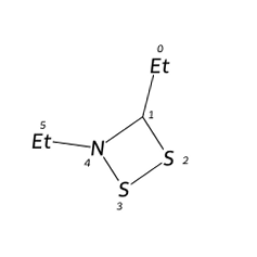 CCC1SSN1CC